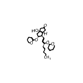 CCCCC[C@@H](C=C[C@H]1[C@H](OC2CCCCO2)C[C@]2(O)CC(=O)C[C@@H]12)OC1CCCCO1